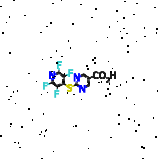 O=C(O)c1cnc(Sc2c(F)c(F)nc(F)c2F)nc1